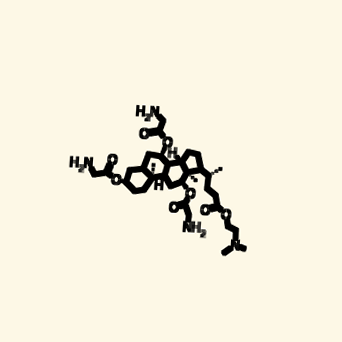 C[C@H](CCC(=O)OCCN(C)C)C1CC[C@H]2C3[C@H](OC(=O)CN)CC4C[C@H](OC(=O)CN)CC[C@]4(C)[C@H]3C[C@H](OC(=O)CN)[C@]12C